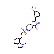 Cn1ccc2cccc(CCS(=O)(=O)N3CCC4(CC3)N=C(c3cccc(OC(F)(F)F)c3)NC4=O)c21